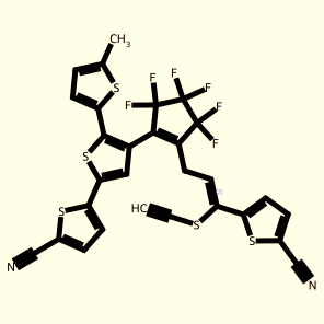 C#CS/C(=C\CC1=C(c2cc(-c3ccc(C#N)s3)sc2-c2ccc(C)s2)C(F)(F)C(F)(F)C1(F)F)c1ccc(C#N)s1